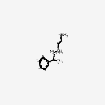 CC(N[SiH2]CC[SiH3])c1ccccc1